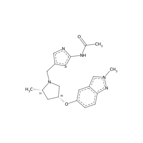 CC(=O)Nc1ncc(CN2C[C@H](Oc3ccc4nn(C)cc4c3)C[C@@H]2C)s1